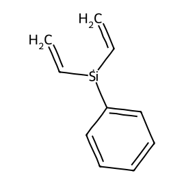 C=C[Si](C=C)c1ccccc1